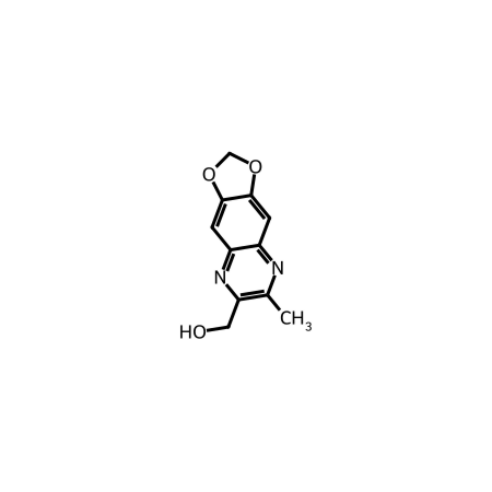 Cc1nc2cc3c(cc2nc1CO)OCO3